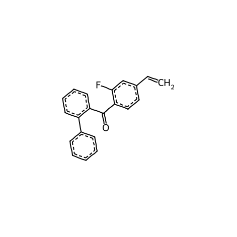 C=Cc1ccc(C(=O)c2ccccc2-c2ccccc2)c(F)c1